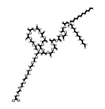 CCCCCCCCCCCC[N+](C)(CCCCCCCCCCCC)CC(C)OCC(C)OCC(C)OCC(C)OCC(C)OCC(C)OCC(C)OCC(C)OCC(C)OCC(C)OCC(C)OCC(C)OCC(C)OCC(C)OCCOCCOCCOCCOCCOCCOCCOCCOCCOCC(=O)[O-]